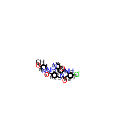 COc1ccc(NC(=O)c2ccc(CN3C(=O)c4ccc(Cl)cc4NC(=O)C3Cc3cccnc3)cc2)nc1